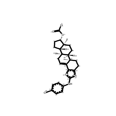 CCC(=O)O[C@H]1CC[C@H]2[C@@H]3CC=C4c5sc(Nc6ccc(Cl)cc6)nc5CC[C@]4(C)[C@H]3CC[C@]12C